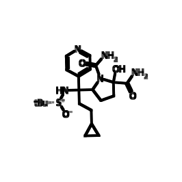 CC(C)(C)[S@@+]([O-])NC(CCC1CC1)(c1ccncc1)C1CCC(O)(C(N)=O)N1C(N)=O